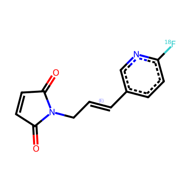 O=C1C=CC(=O)N1C/C=C/c1ccc([18F])nc1